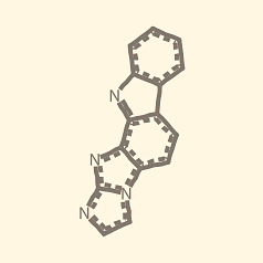 c1ccc2c(c1)N=c1c-2ccc2c1nc1nccn12